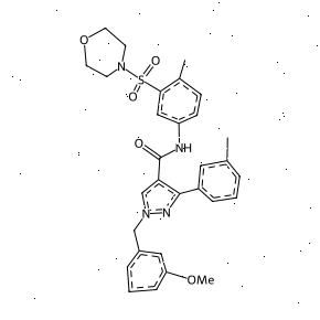 COc1cccc(Cn2cc(C(=O)Nc3ccc(C)c(S(=O)(=O)N4CCOCC4)c3)c(-c3cccc(C)c3)n2)c1